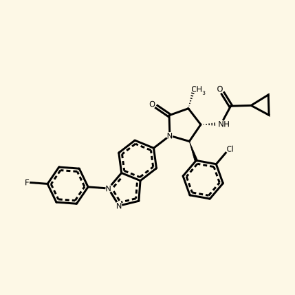 C[C@H]1C(=O)N(c2ccc3c(cnn3-c3ccc(F)cc3)c2)[C@H](c2ccccc2Cl)[C@H]1NC(=O)C1CC1